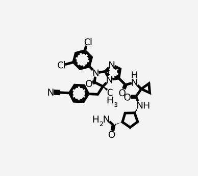 C[C@@]1(Cc2ccc(C#N)cc2)C(=O)N(c2cc(Cl)cc(Cl)c2)c2ncc(C(=O)NC3(C(=O)N[C@@H]4CC[C@H](C(N)=O)C4)CC3)n21